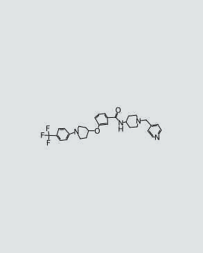 O=C(NC1CCN(Cc2ccncc2)CC1)c1cccc(OC2CCN(c3ccc(C(F)(F)F)cc3)CC2)c1